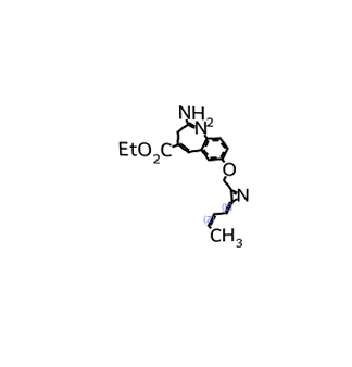 C/C=C\C=C1N=C\1COc1ccc2c(c1)C=C(C(=O)OCC)CC(N)=N2